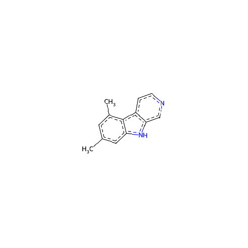 Cc1cc(C)c2c(c1)[nH]c1cnccc12